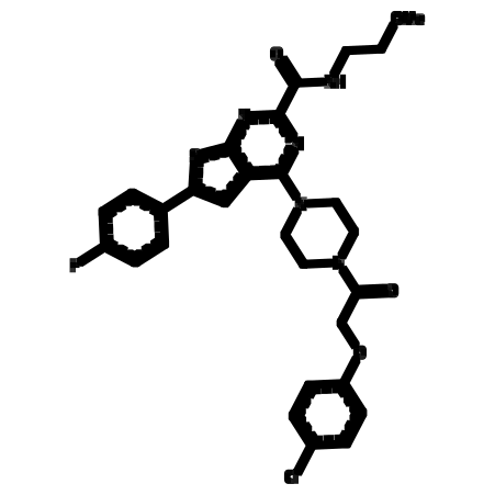 COCCNC(=O)c1nc(N2CCN(C(=O)COc3ccc(Cl)cc3)CC2)c2cc(-c3ccc(F)cc3)sc2n1